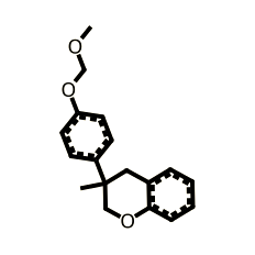 COCOc1ccc(C2(C)COc3ccccc3C2)cc1